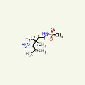 CC(C)[C@H](N)C(C)(C)CCNS(C)(=O)=O